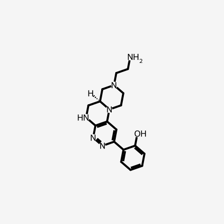 NCCN1CCN2c3cc(-c4ccccc4O)nnc3NC[C@H]2C1